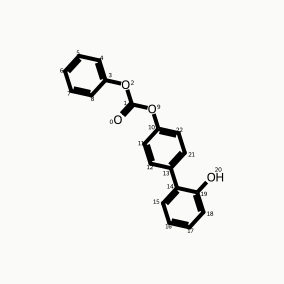 O=C(Oc1ccccc1)Oc1ccc(-c2ccccc2O)cc1